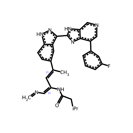 C=N/C=C(\C=C(/C)c1ccc2[nH]nc(-c3nc4c(-c5cccc(F)c5)cncc4[nH]3)c2c1)NC(=O)CC(C)C